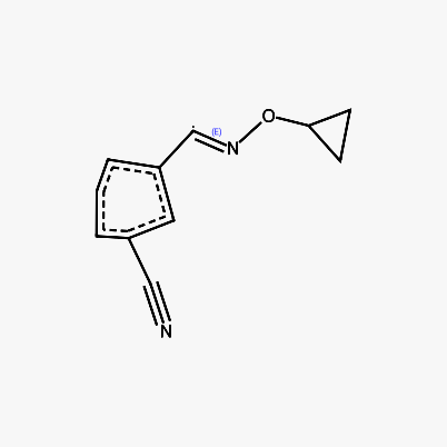 N#Cc1cccc(/[C]=N/OC2CC2)c1